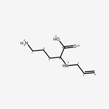 C=CCNC(CCCN)C(=O)O